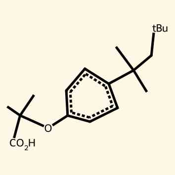 CC(C)(C)CC(C)(C)c1ccc(OC(C)(C)C(=O)O)cc1